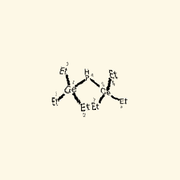 C[CH2][Ge]([CH2]C)([CH2]C)[PH][Ge]([CH2]C)([CH2]C)[CH2]C